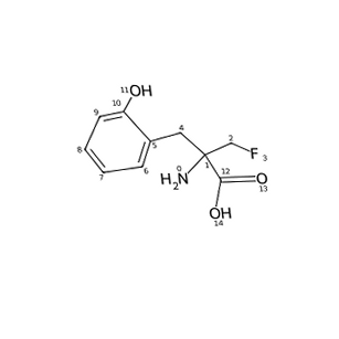 NC(CF)(Cc1ccccc1O)C(=O)O